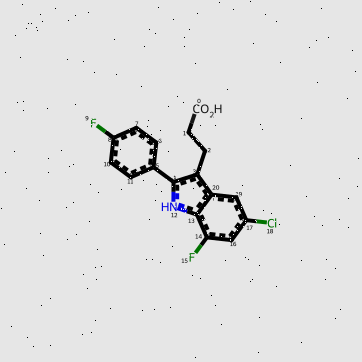 O=C(O)CCc1c(-c2ccc(F)cc2)[nH]c2c(F)cc(Cl)cc12